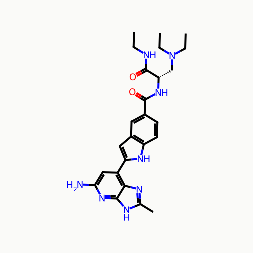 CCNC(=O)[C@H](CN(CC)CC)NC(=O)c1ccc2[nH]c(-c3cc(N)nc4[nH]c(C)nc34)cc2c1